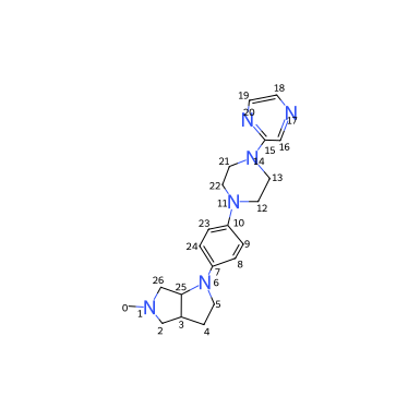 CN1CC2CCN(c3ccc(N4CCN(c5cnccn5)CC4)cc3)C2C1